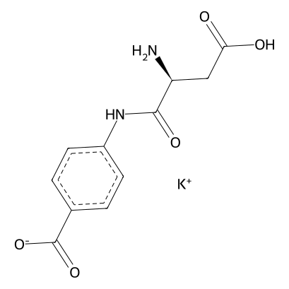 N[C@@H](CC(=O)O)C(=O)Nc1ccc(C(=O)[O-])cc1.[K+]